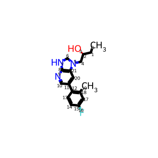 CC[C@H](O)CN1CNc2ncc(-c3ccc(F)cc3C)cc21